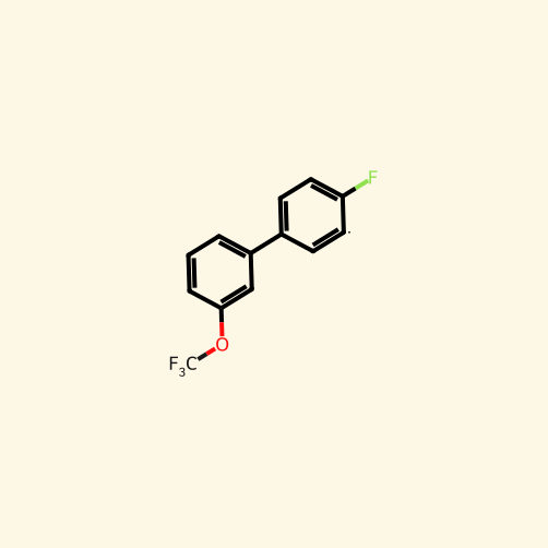 Fc1[c]cc(-c2cccc(OC(F)(F)F)c2)cc1